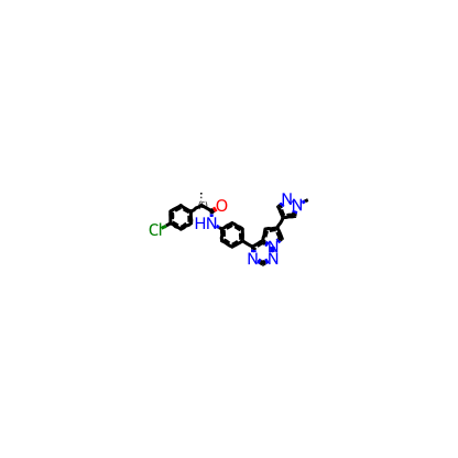 C[C@H](C(=O)Nc1ccc(-c2ncnn3cc(-c4cnn(C)c4)cc23)cc1)c1ccc(Cl)cc1